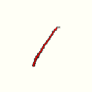 O=C(CCCCCO)OCCCCCC(=O)OCCCCCC(=O)OCCCCCC(=O)OCCCCCC(=O)OCCCCCC(=O)OCCCCCC(=O)OCCCCCC(=O)OCCCCCC(=O)OCCCCCC(=O)OCCCCCC(=O)OCCCCCC(=O)OCCCCCC(=O)OCCCCCC(=O)OCCCCCC(=O)OCCN1CCOCC1